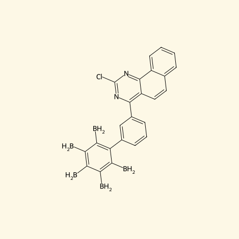 Bc1c(B)c(B)c(-c2cccc(-c3nc(Cl)nc4c3ccc3ccccc34)c2)c(B)c1B